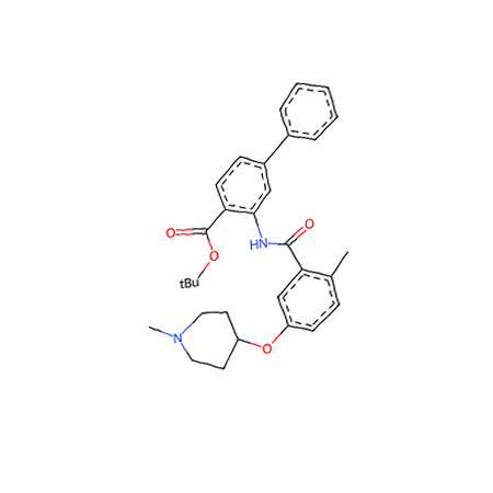 Cc1ccc(OC2CCN(C)CC2)cc1C(=O)Nc1cc(-c2ccccc2)ccc1C(=O)OC(C)(C)C